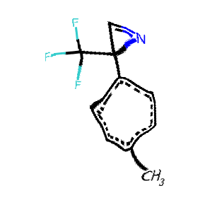 Cc1ccc(C2(C(F)(F)F)C=N2)cc1